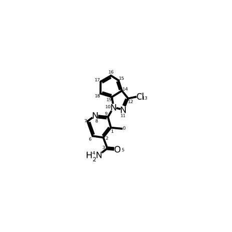 Cc1c(C(N)=O)ccnc1-n1nc(Cl)c2ccccc21